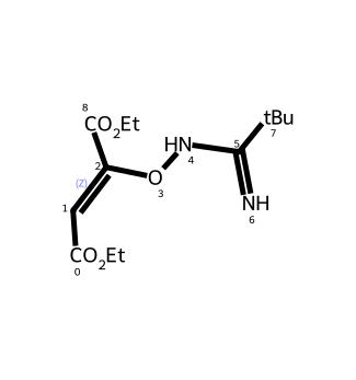 CCOC(=O)/C=C(\ONC(=N)C(C)(C)C)C(=O)OCC